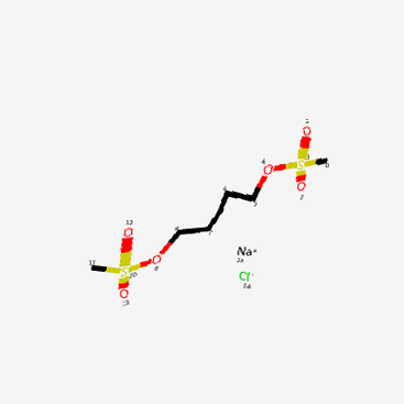 CS(=O)(=O)OCCCCOS(C)(=O)=O.[Cl-].[Na+]